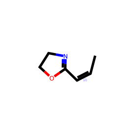 C/C=C\C1=NCCO1